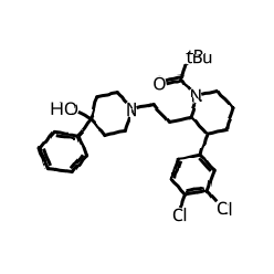 CC(C)(C)C(=O)N1CCCC(c2ccc(Cl)c(Cl)c2)C1CCN1CCC(O)(c2ccccc2)CC1